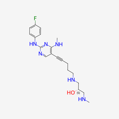 CNC[C@H](O)CNCCCC#Cc1cnc(Nc2ccc(F)cc2)nc1NC